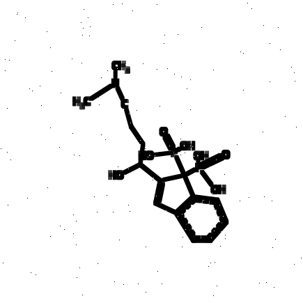 CN(C)CCCC(O)C1=Cc2ccccc2C1(P(=O)(O)O)P(=O)(O)O